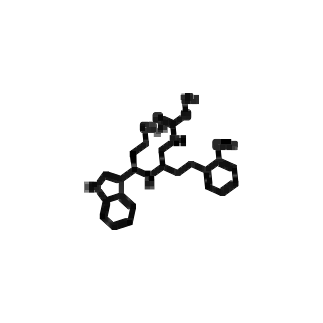 COc1ccccc1CCC(CNC(=O)OC(C)(C)C)N[C@H](CCC(=O)O)c1c[nH]c2ccccc12